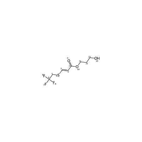 O=C(C=CSCC(F)(F)F)OCCCO